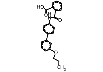 CCCOc1cccc(-c2ccc(NC(=O)c3ccccc3C(=O)O)cc2)c1